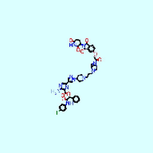 Nc1ncc(-c2cnn(C3CCN(CCCN4CC5CC4CN5C(=O)COc4ccc5c(c4)C(=O)N(C4CCC(=O)NC4=O)C5=O)CC3)c2)nc1C(=O)O[C@@H](C(=O)Nc1ccc(F)cc1)c1ccccc1